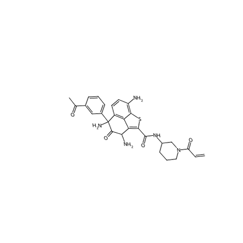 C=CC(=O)N1CCCC(NC(=O)c2sc3c(N)ccc4c3c2C(N)C(=O)C4(N)c2cccc(C(C)=O)c2)C1